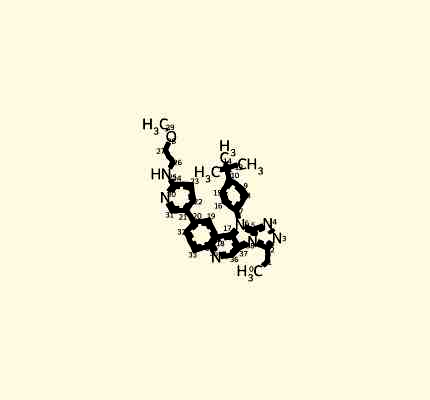 CCc1nnc2n(-c3ccc(C(C)(C)C)cc3)c3c4cc(-c5ccc(NCCOC)nc5)ccc4ncc3n12